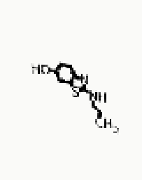 C=CCNc1nc2ccc(O)cc2s1